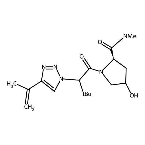 C=C(C)c1cn(C(C(=O)N2CC(O)C[C@@H]2C(=O)NC)C(C)(C)C)nn1